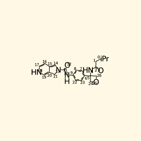 CC(C)CC(=O)NC1(c2ccc(NC(=O)N3C=C4C=CNC=C4C3)cc2)COC1